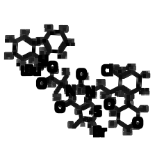 Cc1c(Br)sc2c1c(=O)n(C(C)(C)C(=O)O[Si](c1ccccc1)(c1ccccc1)C(C)(C)C)c(=O)n2CC(OC1CCOCC1)c1ccccc1Cl